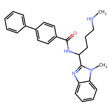 CNCCCC(NC(=O)c1ccc(-c2ccccc2)cc1)c1nc2ccccc2n1C